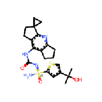 CC(C)(O)c1csc([S@](N)(=O)=NC(=O)Nc2c3c(nc4c2CCC42CC2)CCC3)c1